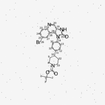 CC(C)(C)OC(=O)N1CCC(c2ccc(-n3c(=O)[nH]c4cnc5ccc(Br)cc5c43)cc2)CC1